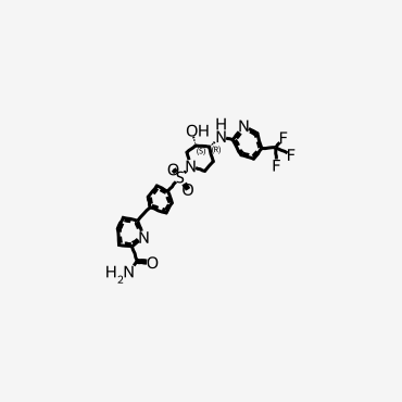 NC(=O)c1cccc(-c2ccc(S(=O)(=O)N3CC[C@@H](Nc4ccc(C(F)(F)F)cn4)[C@@H](O)C3)cc2)n1